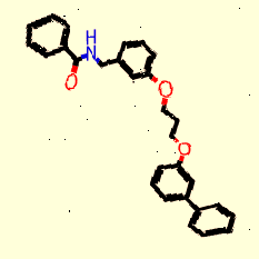 O=C(NCc1[c]c(OCCCOc2cccc(-c3ccccc3)c2)ccc1)c1ccccc1